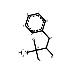 CC(Cc1ccccc1)C(C)(C)N